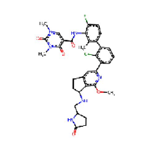 COc1nc(-c2cccc(-c3ccc(F)c(NC(=O)c4cn(C)c(=O)n(C)c4=O)c3C)c2Cl)cc2c1C(NCC1CCC(=O)N1)CC2